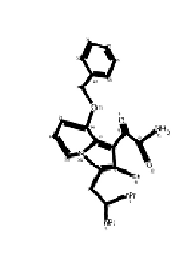 CCCC(CCC)Cc1c(CC)c(C(=O)C(N)=O)c2c(OCc3ccccc3)cccn12